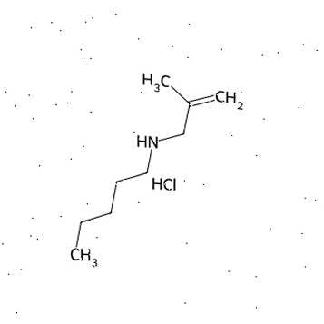 C=C(C)CNCCCCC.Cl